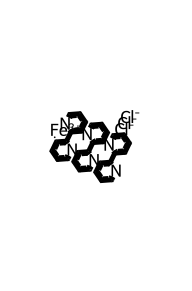 [Cl-].[Cl-].[Cl-].[Fe+3].c1ccc(-c2ccccn2)nc1.c1ccc(-c2ccccn2)nc1.c1ccc(-c2ccccn2)nc1